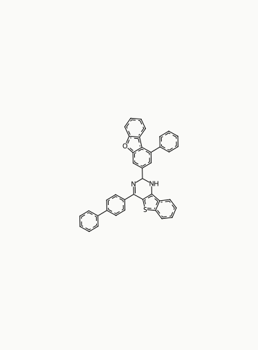 c1ccc(-c2ccc(C3=NC(c4cc(-c5ccccc5)c5c(c4)oc4ccccc45)Nc4c3sc3ccccc43)cc2)cc1